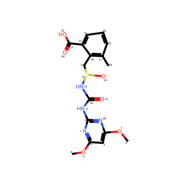 COc1cc(OC)nc(NC(=O)N[S+]([O-])Cc2c(C)cccc2C(=O)O)n1